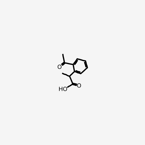 CC(=O)c1ccccc1C(C)C(=O)O